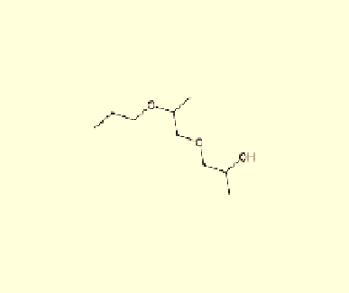 CCCOC(C)COCC(C)O